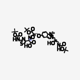 C[n+]1c2ccc(OC[C@H](O/N=C(\C(=O)O)c3csc(NC(=O)OC(C)(C)C)n3)C(=O)OC(C)(C)C)cc2cn1C[C@H](O)CNC(=O)OC(C)(C)C